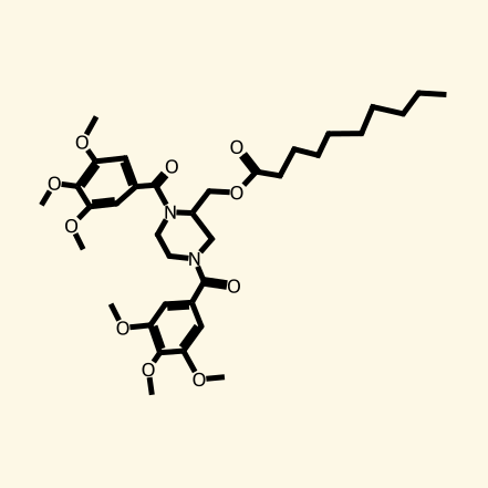 CCCCCCCCCC(=O)OCC1CN(C(=O)c2cc(OC)c(OC)c(OC)c2)CCN1C(=O)c1cc(OC)c(OC)c(OC)c1